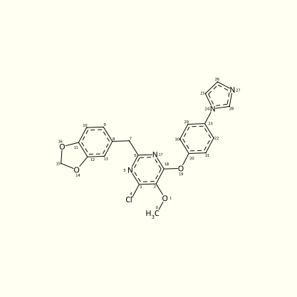 COc1c(Cl)nc(Cc2ccc3c(c2)OCO3)nc1Oc1ccc(-n2ccnc2)cc1